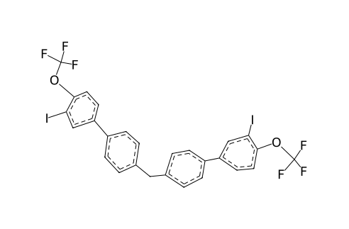 FC(F)(F)Oc1ccc(-c2ccc(Cc3ccc(-c4ccc(OC(F)(F)F)c(I)c4)cc3)cc2)cc1I